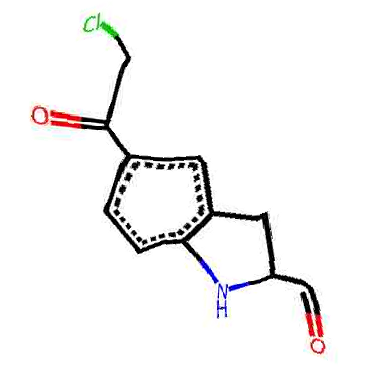 O=CC1Cc2cc(C(=O)CCl)ccc2N1